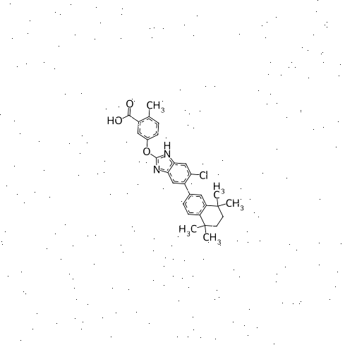 Cc1ccc(Oc2nc3cc(-c4ccc5c(c4)C(C)(C)CCC5(C)C)c(Cl)cc3[nH]2)cc1C(=O)O